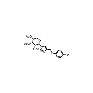 CC(=O)OC1COC(n2cc(COc3ccc(Br)cc3)nn2)C(OC(C)=O)C1OC(C)=O